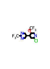 FC(F)(F)Oc1cnc(Cl)cc1-c1cnc(C(F)(F)F)nc1